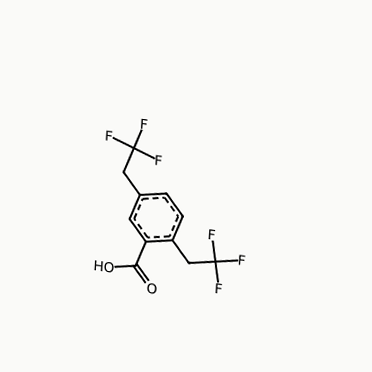 O=C(O)c1cc(CC(F)(F)F)ccc1CC(F)(F)F